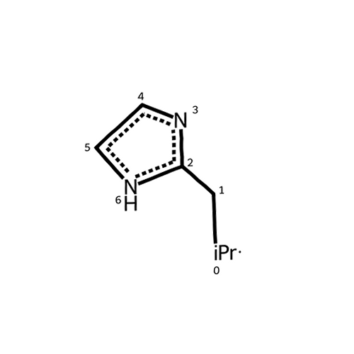 C[C](C)Cc1ncc[nH]1